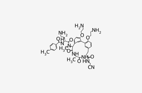 Cc1ccc(C(=O)N[C@@H](CCN)C(=O)N(C)[C@@H]2C(=O)N[C@@H](C)C(=O)N[C@H](C(=O)NCC#N)Cc3ccc(OCCN)c(c3)-c3cc2ccc3OCCN)cc1